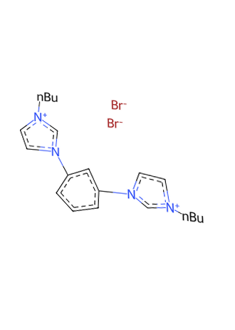 CCCC[n+]1ccn(-c2cccc(-n3cc[n+](CCCC)c3)c2)c1.[Br-].[Br-]